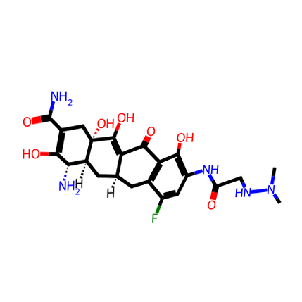 CN(C)NCC(=O)Nc1cc(F)c2c(c1O)C(=O)C1=C(O)[C@]3(O)CC(C(N)=O)=C(O)[C@@H](N)[C@@H]3C[C@@H]1C2